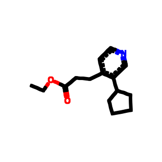 CCOC(=O)CCc1ccncc1C1CCCC1